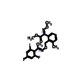 CO/N=C(/C(=O)OC)c1cccc(C)c1CO/N=C(\C)c1c(F)cc(I)cc1I